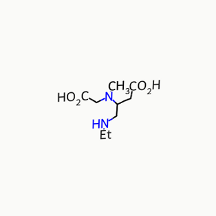 CCNCC(CC(=O)O)N(C)CC(=O)O